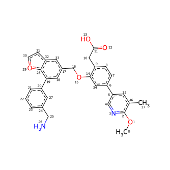 COc1ncc(-c2ccc(CC(=O)O)c(OCc3cc(-c4cccc(CN)c4)c4occc4c3)c2)cc1C